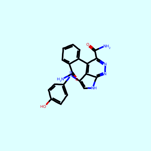 NC(=O)c1ccccc1-c1c(C(N)=O)nnc2[nH]cc(Nc3ccc(O)cc3)c12